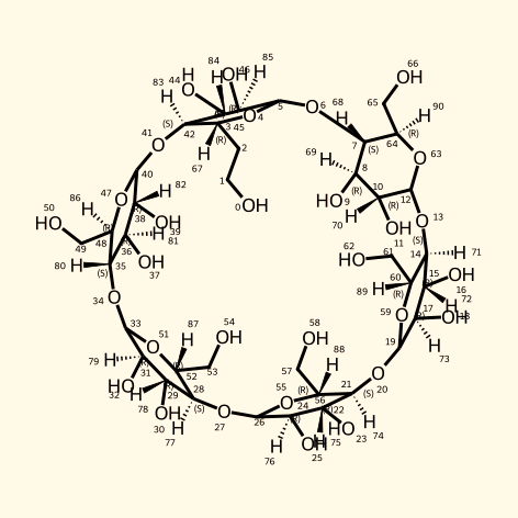 OCC[C@H]1OC2O[C@H]3[C@H](O)[C@@H](O)C(O[C@H]4[C@H](O)[C@@H](O)C(O[C@H]5[C@H](O)[C@@H](O)C(O[C@H]6[C@H](O)[C@@H](O)C(O[C@H]7[C@H](O)[C@@H](O)C(O[C@H]1[C@H](O)[C@H]2O)O[C@@H]7CO)O[C@@H]6CO)O[C@@H]5CO)O[C@@H]4CO)O[C@@H]3CO